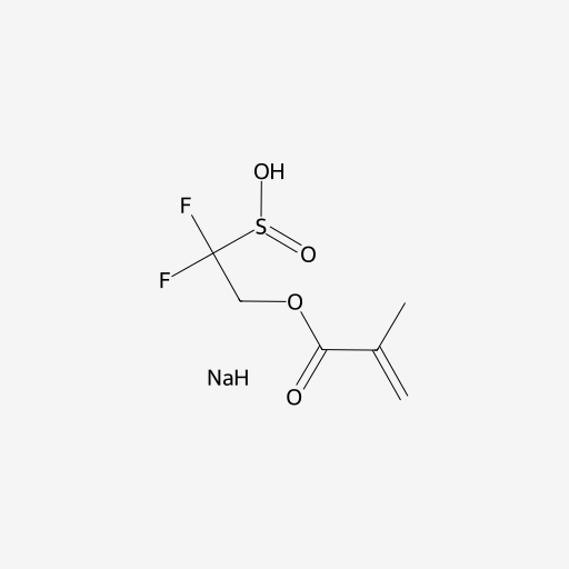 C=C(C)C(=O)OCC(F)(F)S(=O)O.[NaH]